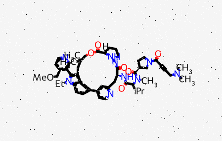 CCn1c(-c2cnccc2COC)c2c3cc(ccc31)-c1ccnc(c1)C[C@H](NC(=O)C(C(C)C)N(C)C(=O)[C@H]1CCN(C(=O)C#CCN(C)C)C1)C(=O)N1CCC[C@H](N1)C(=O)OCC(C)(C)C2